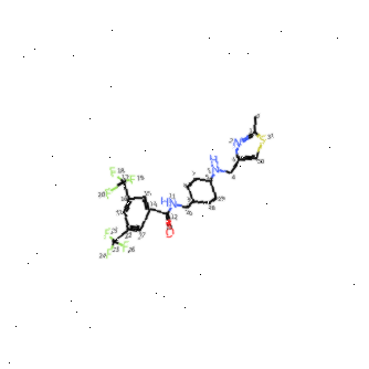 Cc1nc(CNC2CCC(CNC(=O)c3cc(C(F)(F)F)cc(C(F)(F)F)c3)CC2)cs1